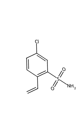 C=Cc1ccc(Cl)cc1S(N)(=O)=O